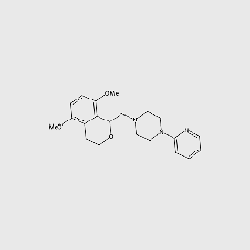 COc1ccc(OC)c2c1CCOC2CN1CCN(c2ccccn2)CC1